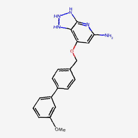 COc1cccc(-c2ccc(COc3cc(N)nc4c3NNN4)cc2)c1